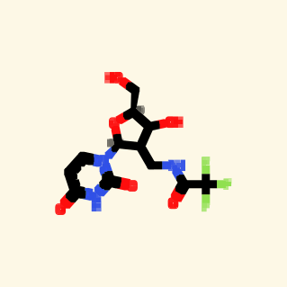 O=C(NCC1C(O)[C@H](CO)O[C@@H]1n1ccc(=O)[nH]c1=O)C(F)(F)F